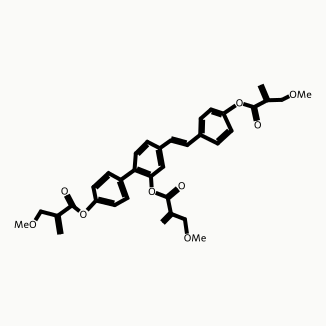 C=C(COC)C(=O)Oc1ccc(/C=C/c2ccc(-c3ccc(OC(=O)C(=C)COC)cc3)c(OC(=O)C(=C)COC)c2)cc1